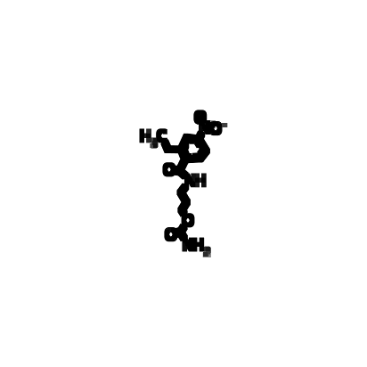 CCc1cc([N+](=O)[O-])ccc1C(=O)NCCCOC(N)=O